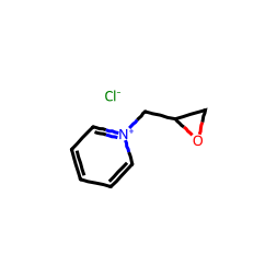 [Cl-].c1cc[n+](CC2CO2)cc1